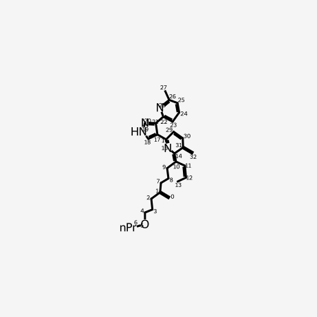 C=C(CCCOCCC)CCCC(/C=C\C)=c1\nc(-c2c[nH]nc2-c2cccc(C)n2)ccc1=C